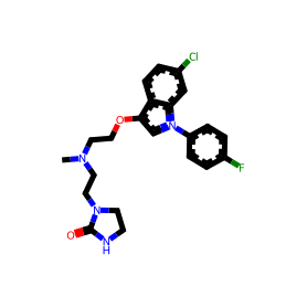 CN(CCOc1cn(-c2ccc(F)cc2)c2cc(Cl)ccc12)CCN1CCNC1=O